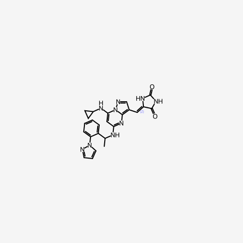 CC(Nc1cc(NC2CC2)n2ncc(/C=C3\NC(=O)NC3=O)c2n1)c1ccccc1-n1cccn1